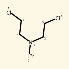 CC(C)N(CCCl)CCCl